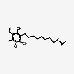 CC(=O)OCCCCCCCCc1c(O)c(Cl)c(C)c(C=O)c1O